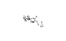 CC1(C)OB(c2ccc(OC[C@@H]3CCN3)c(F)c2)OC1(C)C